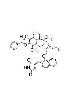 Cc1c(C)c2c(c(C)c1OCc1ccccc1)CCC(C)(CN(C)CCOc1c(C=C3SC(=O)NC3=O)ccc3ccccc13)O2